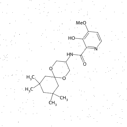 COc1ccnc(C(=O)NC2COC3(CC(C)(C)CC(C)(C)C3)OC2)c1O